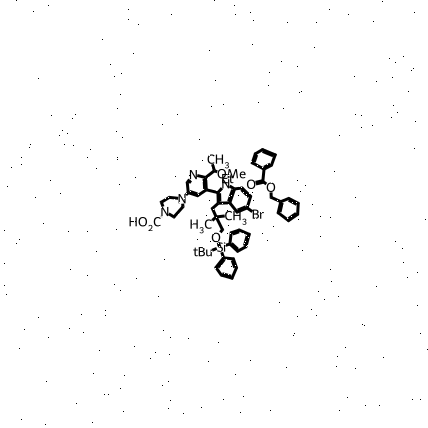 CCn1c(-c2cc(N3CCN(C(=O)O)CC3)cnc2C(C)OC)c(CC(C)(C)CO[Si](c2ccccc2)(c2ccccc2)C(C)(C)C)c2cc(Br)ccc21.O=C(OCc1ccccc1)c1ccccc1